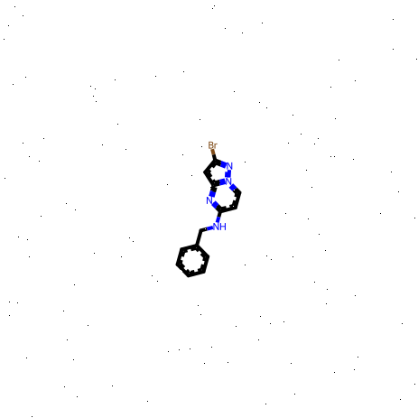 Brc1cc2nc(NCc3ccccc3)ccn2n1